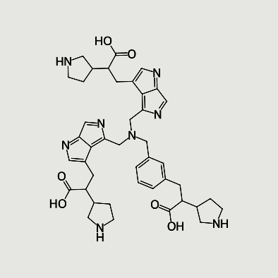 O=C(O)C(CC1=CN=C2C=NC(CN(CC3=C4C(CC(C(=O)O)C5CCNC5)=CN=C4C=N3)Cc3cccc(CC(C(=O)O)C4CCNC4)c3)=C12)C1CCNC1